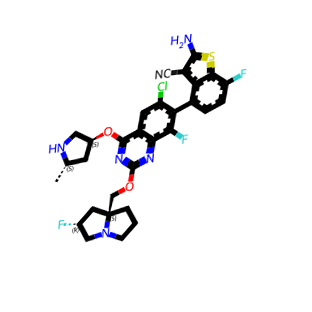 C[C@H]1C[C@H](Oc2nc(OC[C@@]34CCCN3C[C@H](F)C4)nc3c(F)c(-c4ccc(F)c5sc(N)c(C#N)c45)c(Cl)cc23)CN1